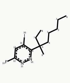 CCCCCC(C)(CC)c1nnc(F)cc1I